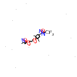 Cc1cc(OCCCOc2c(C)cc(-c3noc(C(F)(F)F)n3)cc2C)on1